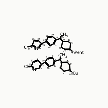 CCCCC1CCC(C(C)c2ccc(-c3ccc(Cl)nc3)cc2)CC1.CCCCCC1CCC(C(C)c2ccc(-c3ccc(Cl)nc3)cc2)CC1